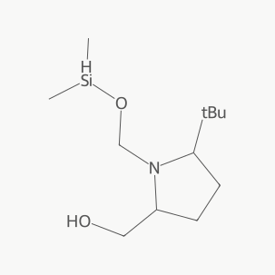 C[SiH](C)OCN1C(CO)CCC1C(C)(C)C